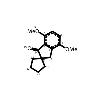 COc1ccc(OC)c2c1CC1(CCCC1)C2=O